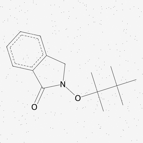 CC(C)(C)C(C)(C)ON1Cc2ccccc2C1=O